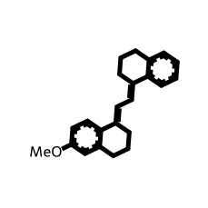 COc1ccc2c(c1)CCC/C2=C\C=C1/CCCc2ccccc21